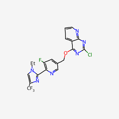 CCn1cc(C(F)(F)F)nc1-c1ncc(COc2nc(Cl)nc3ncccc23)cc1F